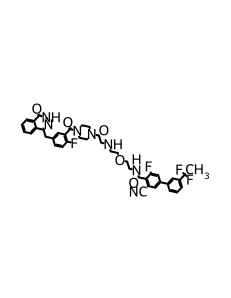 CC(F)(F)c1cccc(-c2cc(F)c(C(=O)NCCOCCNCC(=O)N3CCN(C(=O)c4cc(Cc5n[nH]c(=O)c6ccccc56)ccc4F)CC3)c(C#N)c2)c1